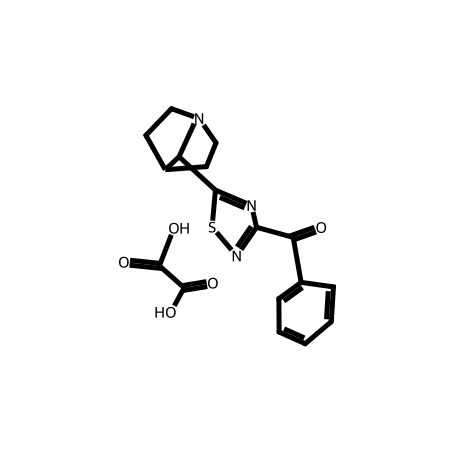 O=C(O)C(=O)O.O=C(c1ccccc1)c1nsc(C2CN3CCC2CC3)n1